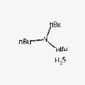 CCCCN(CCCC)CCCC.S